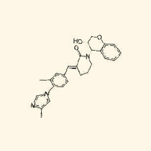 Cc1cn(-c2ccc(/C=C3\CCCN([C@H]4c5ccccc5OC[C@H]4O)C3=O)cc2C)cn1